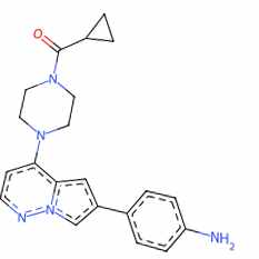 Nc1ccc(-c2cc3c(N4CCN(C(=O)C5CC5)CC4)ccnn3c2)cc1